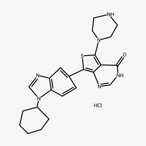 Cl.O=c1[nH]cnc2c(-c3ccc4c(c3)ncn4C3CCCCC3)sc(N3CCNCC3)c12